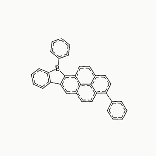 c1ccc(B2c3ccccc3-c3cc4ccc5c(-c6ccccc6)ccc6ccc(c32)c4c65)cc1